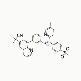 Cc1ccc(/C(=C\c2cccc(-c3cc(C(C)(C)C#N)cc4cccnc34)c2)c2ccc(S(C)(=O)=O)cc2)nc1